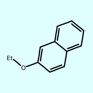 CCOc1ccc2c[c]ccc2c1